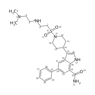 CN(C)CCNCCS(=O)(=O)N1CCC(c2c[nH]c3c(C(N)=O)cc(-c4ccccc4)cc23)CC1